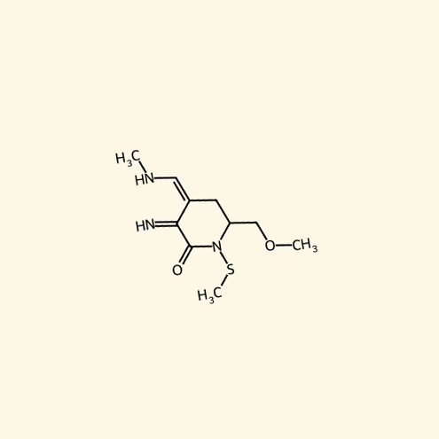 CN/C=C1/CC(COC)N(SC)C(=O)C1=N